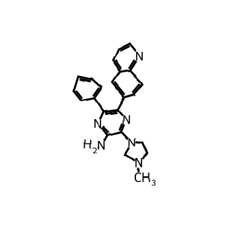 CN1CCN(c2nc(-c3ccc4ncccc4c3)c(-c3ccccc3)nc2N)C1